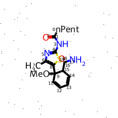 CCCCCC(=O)Nc1nc(C)c(C2(OC)C=CC=CC2C(N)=O)s1